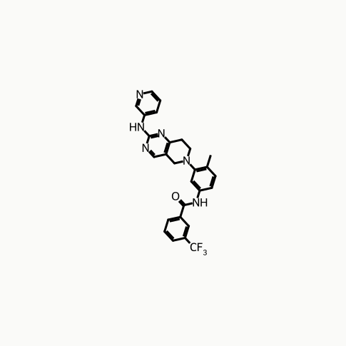 Cc1ccc(NC(=O)c2cccc(C(F)(F)F)c2)cc1N1CCc2nc(Nc3cccnc3)ncc2C1